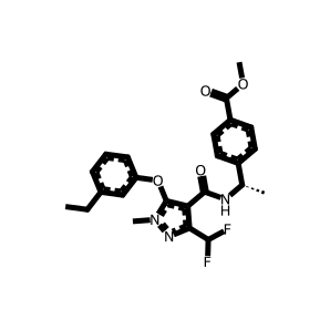 CCc1cccc(Oc2c(C(=O)N[C@@H](C)c3ccc(C(=O)OC)cc3)c(C(F)F)nn2C)c1